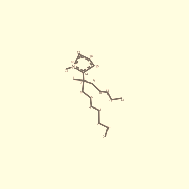 CCCCCCCC(C)(CCCCC)c1cccn1C